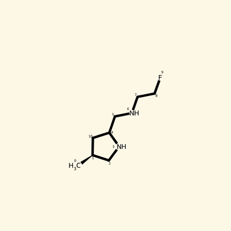 C[C@@H]1CNC(CNCCF)C1